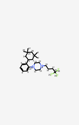 CC1(C)CC(c2ccccc2N2CCN(CCCC(F)(F)F)CC2)CC(C)(C)C1